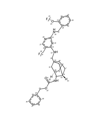 O=C(NC1[C@@H]2CC3C[C@H]1CC(CNc1nc(NCc4ccccc4OC(F)(F)F)ncc1C(F)(F)F)(C3)C2)OCc1ccccc1